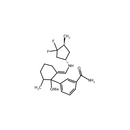 COC1(c2cccc(C(N)=O)c2)/C(=C/N[C@H]2C[C@H](C)C(F)(F)C2)CCCC1C